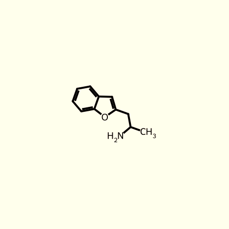 CC(N)Cc1cc2ccccc2o1